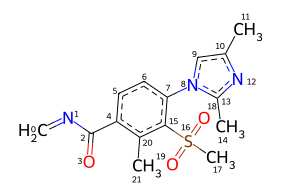 C=NC(=O)c1ccc(-n2cc(C)nc2C)c(S(C)(=O)=O)c1C